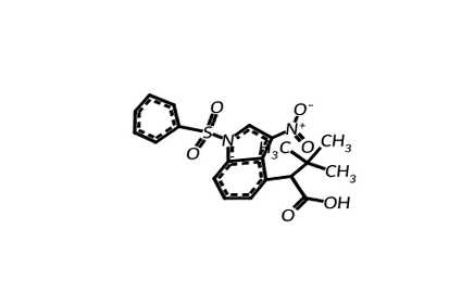 CC(C)(C)C(C(=O)O)c1cccc2c1c([N+](=O)[O-])cn2S(=O)(=O)c1ccccc1